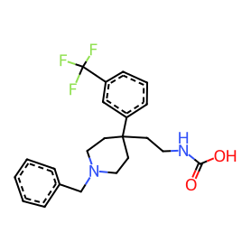 O=C(O)NCCC1(c2cccc(C(F)(F)F)c2)CCN(Cc2ccccc2)CC1